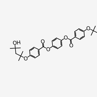 CCC(C)(C)Oc1ccc(C(=O)Oc2ccc(OC(=O)c3ccc(OC(C)(C)CC(C)(C)O)cc3)cc2)cc1